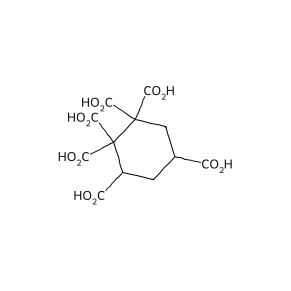 O=C(O)C1CC(C(=O)O)C(C(=O)O)(C(=O)O)C(C(=O)O)(C(=O)O)C1